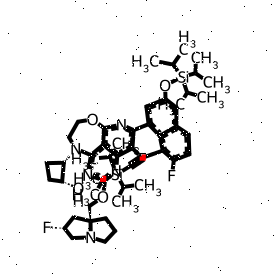 CC(C)[Si](C#Cc1c(F)ccc2cc(O[Si](C(C)C)(C(C)C)C(C)C)cc(-c3nc4c5c(nc(OC[C@@]67CCCN6C[C@H](F)C7)nc5c3F)N([C@H]3CC[C@H]3O)CCO4)c12)(C(C)C)C(C)C